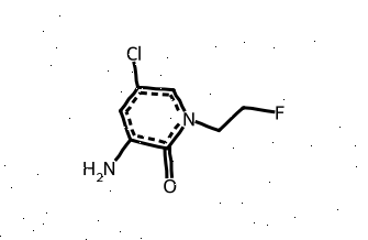 Nc1cc(Cl)cn(CCF)c1=O